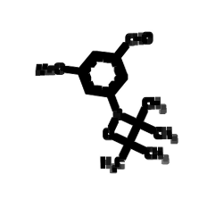 COc1cc(C=O)cc(B2OC(C)(C)C2(C)C)c1